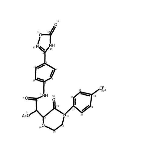 CC(=O)OC(C(=O)Nc1ccc(-c2noc(=O)[nH]2)cc1)C1OCCN(c2ccc(C(F)(F)F)cc2)C1=O